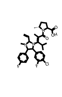 C=CC1N(C)C(c2ccc(F)cc2)C(c2ccc(Cl)c(F)c2)N1/C(=C(\C)C(=O)N1C(C(=O)O)CC[C@H]1C)C(C)C